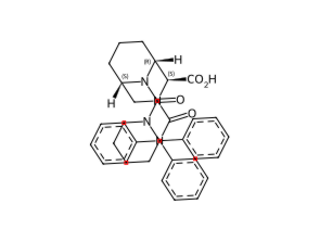 O=C(O)[C@@H]1[C@H]2CCC[C@@H](CN1C(=O)N(c1ccccc1)c1ccccc1)N2C(=O)N1CCCCC1c1ccccc1